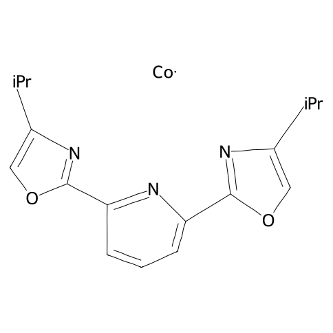 CC(C)c1coc(-c2cccc(-c3nc(C(C)C)co3)n2)n1.[Co]